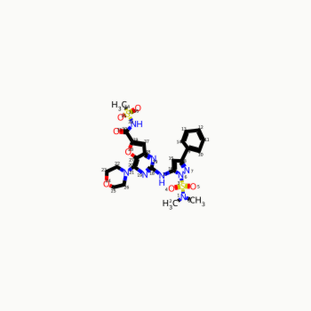 CN(C)S(=O)(=O)n1nc(-c2ccccc2)cc1Nc1nc(N2CCOCC2)c2oc(C(=O)NS(C)(=O)=O)cc2n1